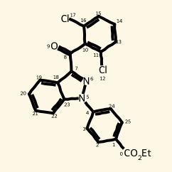 CCOC(=O)c1ccc(-n2nc(C(=O)c3c(Cl)cccc3Cl)c3ccccc32)cc1